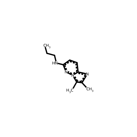 CCCNc1ccc2nc(C)c(C)n2n1